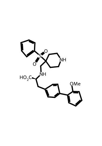 COc1ccccc1-c1ccc(C[C@H](NCC2(S(=O)(=O)c3ccccc3)CCNCC2)C(=O)O)cc1